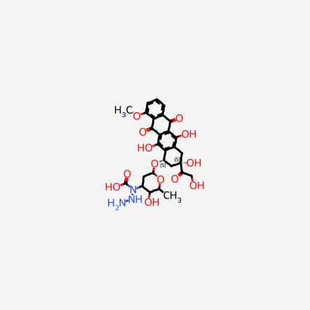 COc1cccc2c1C(=O)c1c(O)c3c(c(O)c1C2=O)C[C@@](O)(C(=O)CO)C[C@@H]3OC1CC(N(NN)C(=O)O)C(O)C(C)O1